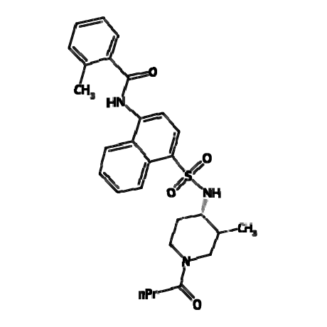 CCCC(=O)N1CC[C@H](NS(=O)(=O)c2ccc(NC(=O)c3ccccc3C)c3ccccc23)C(C)C1